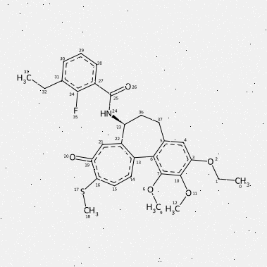 CCOc1cc2c(c(OC)c1OC)-c1ccc(SC)c(=O)cc1[C@@H](NC(=O)c1cccc(CC)c1F)CC2